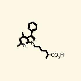 Cc1cc(C)c2c(-c3ccccc3)cn(CCCC[C@@H](C)C(=O)O)c2n1